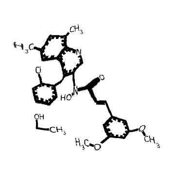 CCO.COc1cc(C=CC(=O)N(O)c2cnc3c(C)cc(C)cc3c2-c2ccccc2Cl)cc(OC)c1